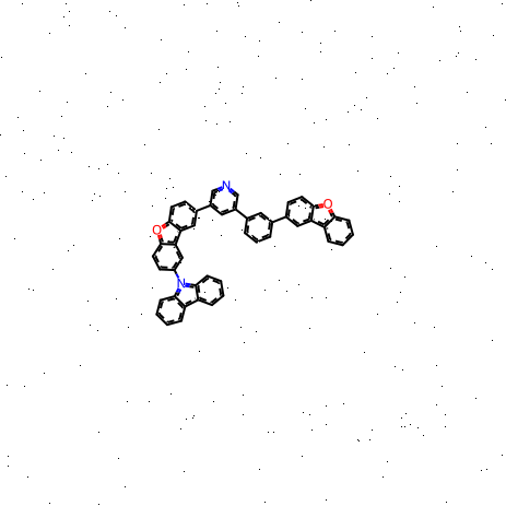 c1cc(-c2cncc(-c3ccc4oc5ccc(-n6c7ccccc7c7ccccc76)cc5c4c3)c2)cc(-c2ccc3oc4ccccc4c3c2)c1